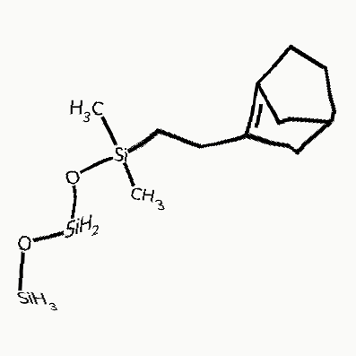 C[Si](C)(CCC1=C2CCC(C2)C1)O[SiH2]O[SiH3]